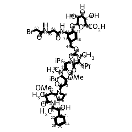 CC[C@H](C)[C@@H]([C@@H](CC(=O)N1CCC[C@H]1[C@H](OC)[C@@H](C)C(=O)N[C@H](C)[C@@H](O)c1ccccc1)OC)N(C)C(=O)[C@@H](NC(=O)[C@H](C(C)C)N(C)C(=O)OCc1ccc(O[C@@H]2O[C@H](C(=O)O)[C@@H](O)[C@H](O)[C@H]2O)c(NC(=O)CCNC(=O)CBr)c1)C(C)C